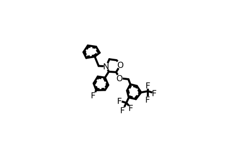 Fc1ccc(C2C(OCc3cc(C(F)(F)F)cc(C(F)(F)F)c3)OCCN2Cc2ccccc2)cc1